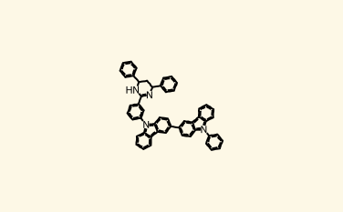 c1ccc(C2CC(c3ccccc3)NC(c3cccc(-n4c5ccccc5c5cc(-c6ccc7c(c6)c6ccccc6n7-c6ccccc6)ccc54)c3)=N2)cc1